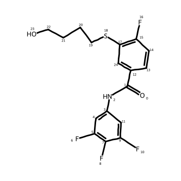 O=C(Nc1cc(F)c(F)c(F)c1)c1ccc(F)c(SCCCCO)c1